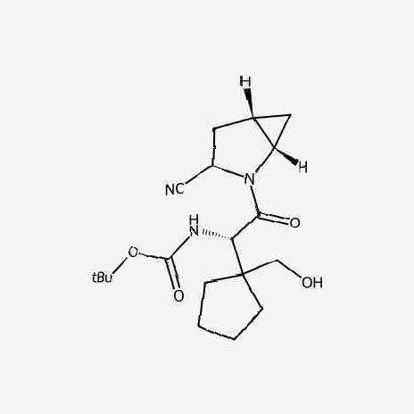 CC(C)(C)OC(=O)N[C@H](C(=O)N1C(C#N)C[C@@H]2C[C@@H]21)C1(CO)CCCC1